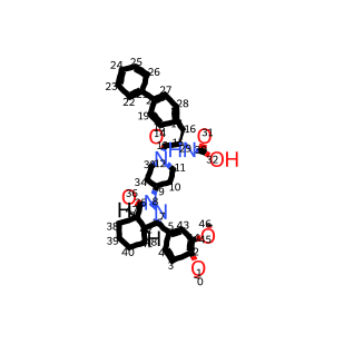 COc1ccc(C2=NN(C3CCN(C(=O)[C@@H](Cc4ccc(-c5ccccc5)cc4)NC(=O)O)CC3)C(=O)[C@@H]3CCCC[C@H]23)cc1OC